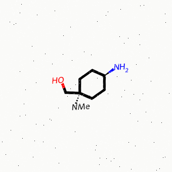 CN[C@]1(CO)CC[C@@H](N)CC1